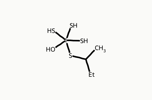 CCC(C)SI(O)(S)(S)S